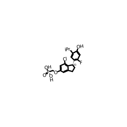 CC(C)c1cc([C@@H]2CCc3cc(OCP(=O)(O)O)cc(Cl)c32)c(F)cc1O